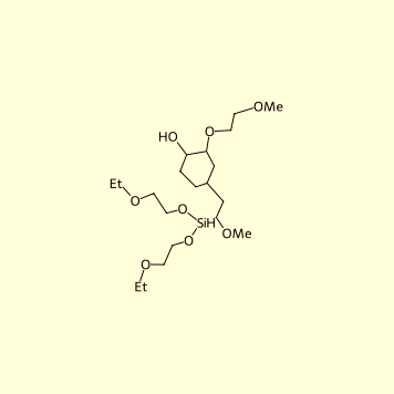 CCOCCO[SiH](OCCOCC)C(CC1CCC(O)C(OCCOC)C1)OC